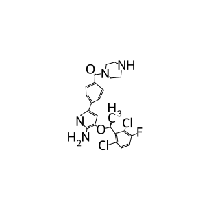 C[C@H](Oc1cc(-c2ccc(C(=O)N3CCNCC3)cc2)cnc1N)c1c(Cl)ccc(F)c1Cl